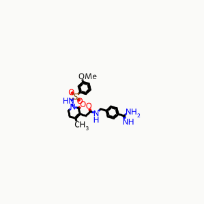 COc1cccc(S(=O)(=O)NN2CCC(C)=C(CC(=O)NCc3ccc(C(=N)N)cc3)C2=O)c1